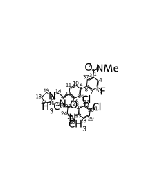 CNC(=O)c1cc(F)cc(-c2ccc(C(CN3CCCC3)N(C)C(=O)CN(C)c3ccc(Cl)c(Cl)c3)cc2)c1